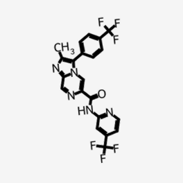 Cc1nc2cnc(C(=O)Nc3cc(C(F)(F)F)ccn3)cn2c1-c1ccc(C(F)(F)F)cc1